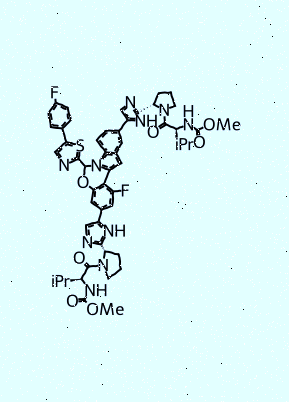 COC(=O)N[C@H](C(=O)N1CCC[C@H]1c1ncc(-c2cc(F)c3c(c2)OC(c2ncc(-c4ccc(F)cc4)s2)n2c-3cc3cc(-c4cnc([C@@H]5CCCN5C(=O)[C@@H](NC(=O)OC)C(C)C)[nH]4)ccc32)[nH]1)C(C)C